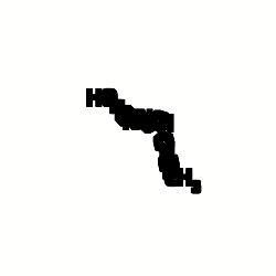 CN1CCN(c2ccc(-c3nccc4[nH]c(CN5CCC6(CC5)CC(O)C6)cc34)cc2)CC1